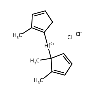 CC1=CC=C[C]1(C)[Hf+2][C]1=C(C)C=CC1.[Cl-].[Cl-]